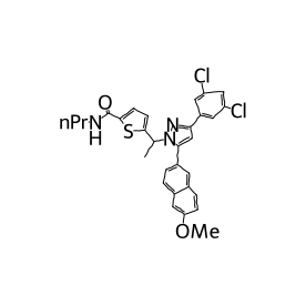 CCCNC(=O)c1ccc(C(C)n2nc(-c3cc(Cl)cc(Cl)c3)cc2-c2ccc3cc(OC)ccc3c2)s1